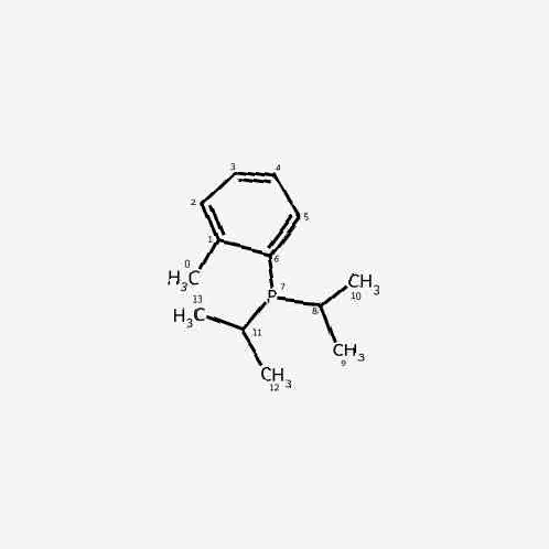 Cc1ccccc1P(C(C)C)C(C)C